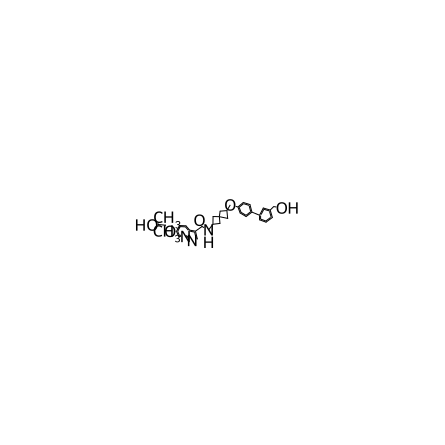 CC(C)(O)COc1ccc2c(C(=O)NC3CC4(C3)CC(Oc3ccc(-c5cccc(CO)c5)cc3)C4)cnn2c1